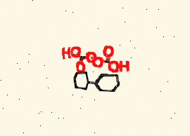 C1CCC(C2CCCCC2)CC1.O=C(O)OOC(=O)O